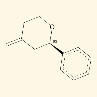 C=C1CCO[C@@H](c2ccccc2)C1